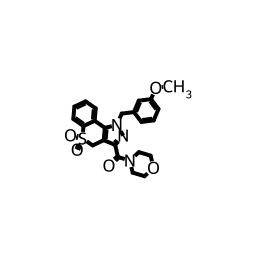 COc1cccc(Cn2nc(C(=O)N3CCOCC3)c3c2-c2ccccc2S(=O)(=O)C3)c1